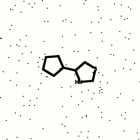 C1CCC(C2CSCN2)C1